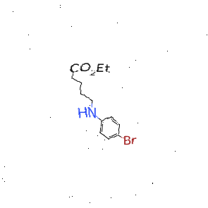 CCOC(=O)CCCCNc1ccc(Br)cc1